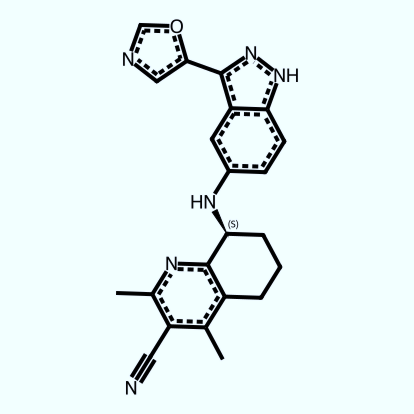 Cc1nc2c(c(C)c1C#N)CCC[C@@H]2Nc1ccc2[nH]nc(-c3cnco3)c2c1